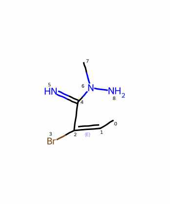 C/C=C(/Br)C(=N)N(C)N